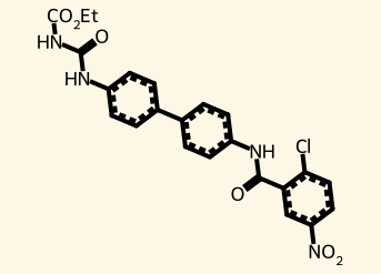 CCOC(=O)NC(=O)Nc1ccc(-c2ccc(NC(=O)c3cc([N+](=O)[O-])ccc3Cl)cc2)cc1